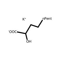 CCCCCCCC(O)C(=O)[O-].[K+]